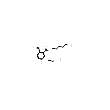 CCCC.CCCCCCOC(=O)c1ccccc1C(=O)O